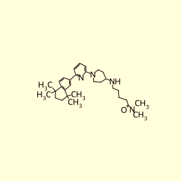 CN(C)C(=O)CCCCNC1CCN(c2cccc(-c3ccc4c(c3)C(C)(C)CCC4(C)C)n2)CC1